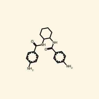 Nc1ccc(C(=O)NC2CCCCC2NC(=O)c2ccc(N)cc2)cc1